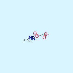 CCOC(=O)CCCOC(=O)c1cn2cc(C3CC3)ccc2n1